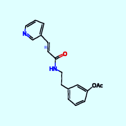 CC(=O)Oc1cccc(CCNC(=O)/C=C/c2cccnc2)c1